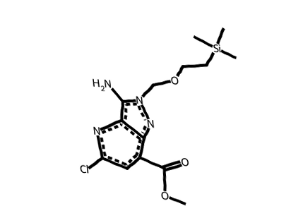 COC(=O)c1cc(Cl)nc2c(N)n(COCC[Si](C)(C)C)nc12